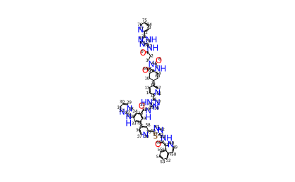 O=C(CCN1C(=O)NC2(CCC(c3ccc(-c4nnc(NC(=O)c5cc(Nc6ncccn6)cc(-c6ccnc(-c7nnc(NC(=O)c8nccc9ccccc89)s7)c6)c5)[nH]4)nc3)CC2)C1=O)Nc1nnc(-c2ccccn2)[nH]1